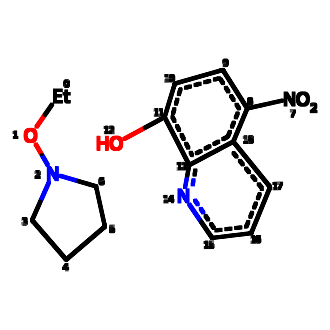 CCON1CCCC1.O=[N+]([O-])c1ccc(O)c2ncccc12